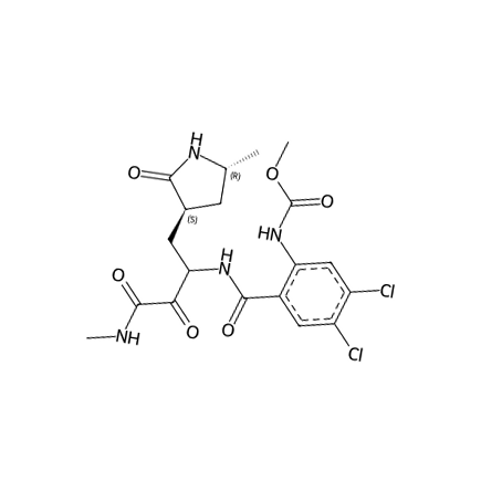 CNC(=O)C(=O)C(C[C@@H]1C[C@@H](C)NC1=O)NC(=O)c1cc(Cl)c(Cl)cc1NC(=O)OC